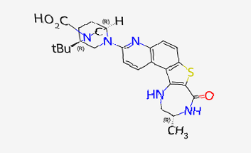 C[C@@H]1CNc2c(sc3ccc4nc(N5C[C@]6(C(C)(C)C)CC[C@@H]5CN6C(=O)O)ccc4c23)C(=O)N1